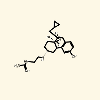 N=C(N)NCCN[C@@H]1CC[C@@]2(O)[C@H]3Cc4ccc(O)cc4[C@@]2(CCN3CC2CC2)C1